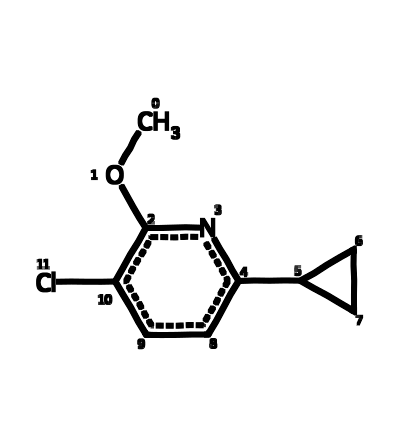 COc1nc(C2CC2)ccc1Cl